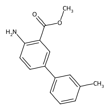 COC(=O)c1cc(-c2cccc(C)c2)ccc1N